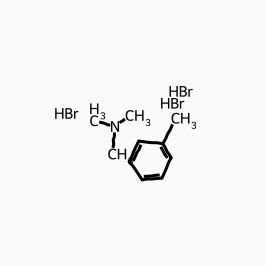 Br.Br.Br.CN(C)C.Cc1ccccc1